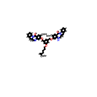 C=C(CCCCOc1cc(COc2cc3c(cc2OC)C(=O)N2c4ccccc4C[C@H]2C=N3)cc(COc2cc3c(cc2OC)C(=O)N2c4ccccc4C[C@H]2CN3)c1)OC